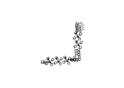 O.O.O.O=S(=O)([O-])[O-].O=S(=O)([O-])[O-].O=S(=O)([O-])[O-].O=S(=O)([O-])[O-].O=S(=O)([O-])[O-].[Fe+3].[Fe+3].[Fe+3].[Mg+2].[Mg+2].[Mg+2].[OH-].[OH-].[OH-].[OH-].[OH-]